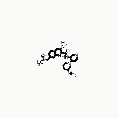 CN(C)Cc1ccc2cc(N)c(C(=O)Nc3cnccc3N3CCCC(N)C3)nc2c1